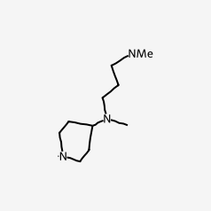 CNCCCN(C)C1CC[N]CC1